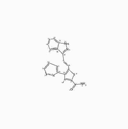 Cc1c(C(N)=O)sc(C=Cc2n[nH]c3ccccc23)c1-c1ccccc1